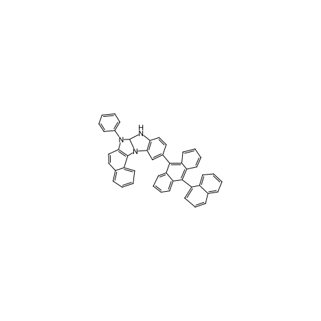 c1ccc(N2c3ccc4ccccc4c3N3c4cc(-c5c6ccccc6c(-c6cccc7ccccc67)c6ccccc56)ccc4NC23)cc1